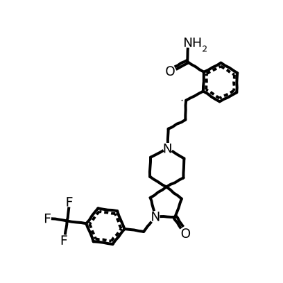 NC(=O)c1ccccc1[CH]CCN1CCC2(CC1)CC(=O)N(Cc1ccc(C(F)(F)F)cc1)C2